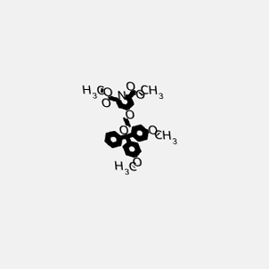 COC(=O)c1cc(OCCOC(c2ccccc2)(c2ccc(OC)cc2)c2ccc(OC)cc2)cc(C(=O)OC)n1